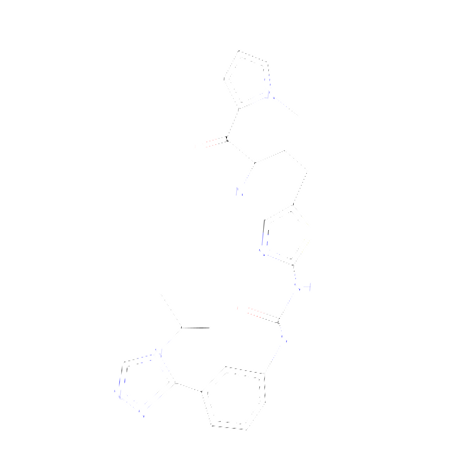 CC(C)n1cnnc1-c1cccc(NC(=O)Nc2nc3c(s2)CCC(C(=O)c2cccn2C)N3)c1